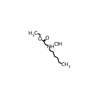 CCCCCCNCC(=O)OCC.Cl